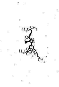 CCCCOCCC[C@@H](CC(=O)OC(C)(C)C)c1noc(C(=O)C#CCC(C)C)c1C1CC1